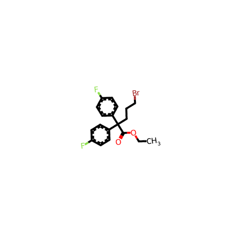 CCOC(=O)C(CCCBr)(c1ccc(F)cc1)c1ccc(F)cc1